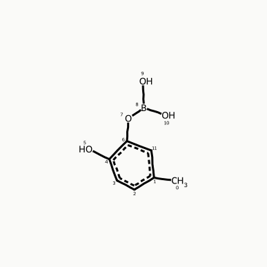 Cc1ccc(O)c(OB(O)O)c1